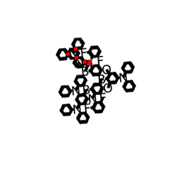 Fc1cccc(F)c1N1c2cc3c(cc2B2c4ccccc4N(c4ccccc4)c4cc(N(c5ccccc5)c5ccccc5)cc1c42)B1c2cc4c(cc2Oc2cc(N(c5ccccc5)c5ccccc5)cc(c21)O3)N(c1c(F)cccc1F)c1cc(N(c2ccccc2)c2ccccc2)cc2c1B4c1ccccc1N2c1ccccc1